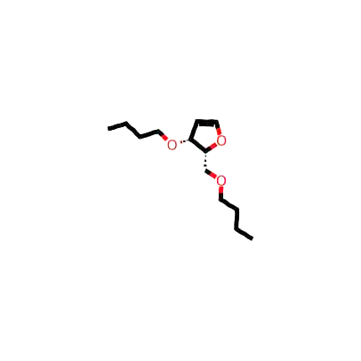 CCCCOC[C@H]1OC=C[C@H]1OCCCC